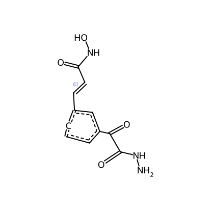 NNC(=O)C(=O)c1cccc(/C=C/C(=O)NO)c1